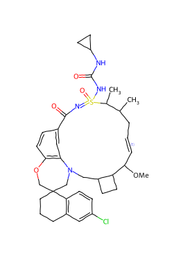 COC1/C=C/CC(C)C(C)S(=O)(NC(=O)NC2CC2)=NC(=O)c2ccc3c(c2)N(CC2CCC21)CC1(CCCc2cc(Cl)ccc21)CO3